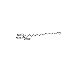 CO[Si](CCCCCCCCCCCCCCCCCCl)(OC)OC